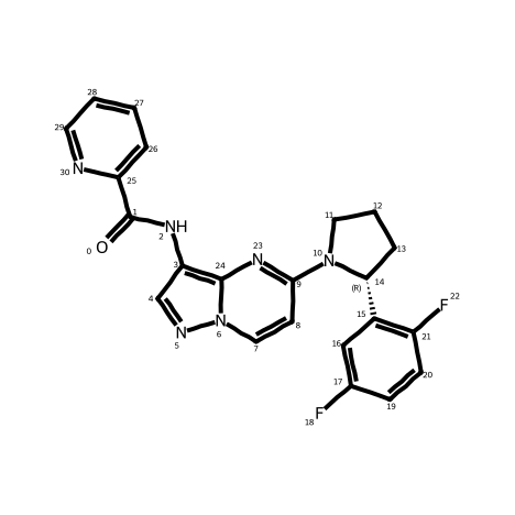 O=C(Nc1cnn2ccc(N3CCC[C@@H]3c3cc(F)ccc3F)nc12)c1ccccn1